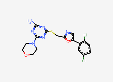 Nc1nc(SCc2ncc(-c3cc(Cl)ccc3Cl)o2)nc(N2CCOCC2)n1